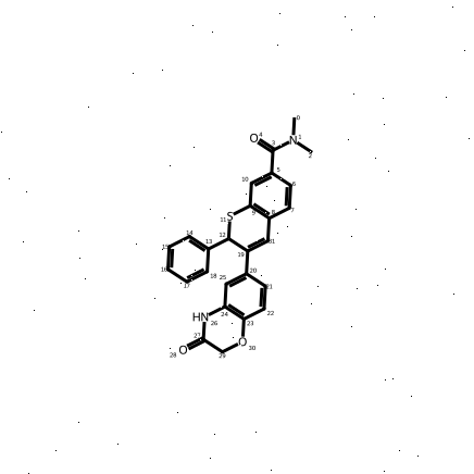 CN(C)C(=O)c1ccc2c(c1)SC(c1ccccc1)C(c1ccc3c(c1)NC(=O)CO3)=C2